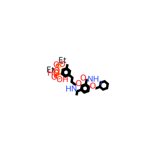 CCOP(=O)(OCC)c1c(C)cc(CCC(=O)NC(C)c2ccc(OCC3CCCCC3)c(C(N)=O)c2)cc1P(=O)(O)O